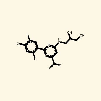 OCC(O)CNc1cc(C(F)F)nc(-c2cc(F)c(Cl)cc2F)n1